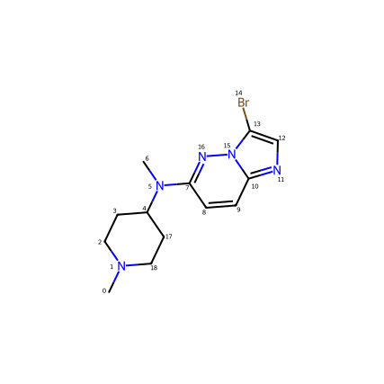 CN1CCC(N(C)c2ccc3ncc(Br)n3n2)CC1